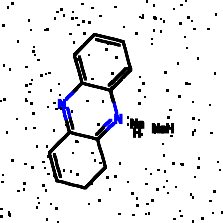 C1=Cc2nc3ccccc3nc2CC1.[NaH].[NaH]